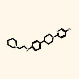 Brc1ccc(N2CCC(c3ccc(OCCN4CCCCC4)cc3)CC2)nc1